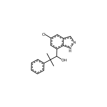 CC(C)(c1ccccc1)C(O)c1cc(Cl)cc2cn[nH]c12